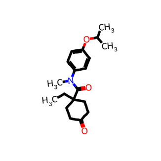 CCC1(C(=O)N(C)c2ccc(OC(C)C)cc2)CCC(=O)CC1